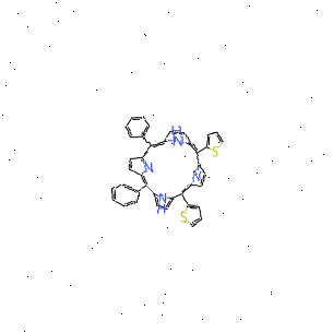 C1=Cc2nc1c(-c1ccccc1)c1ccc([nH]1)c(-c1cccs1)c1nc(c(-c3cccs3)c3ccc([nH]3)c2-c2ccccc2)C=C1